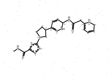 CNC(=O)c1nnc(N2CCC(C3=NNC(NC(=O)CC4=CC=CCN4)C=C3)C2)s1